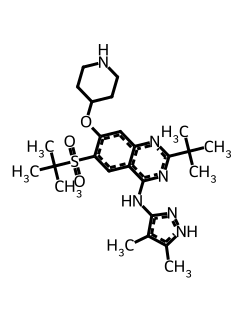 Cc1[nH]nc(Nc2nc(C(C)(C)C)nc3cc(OC4CCNCC4)c(S(=O)(=O)C(C)(C)C)cc23)c1C